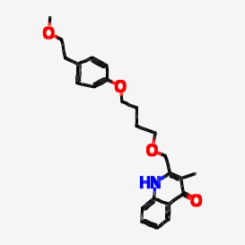 COCCc1ccc(OCCCCOCc2[nH]c3ccccc3c(=O)c2C)cc1